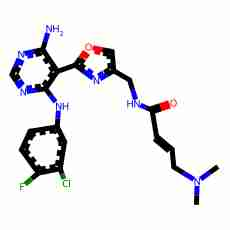 CN(C)C/C=C/C(=O)NCc1coc(-c2c(N)ncnc2Nc2ccc(F)c(Cl)c2)n1